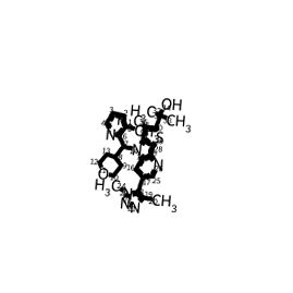 Cc1cccnc1C(C1CCOCC1)n1c2cc(-c3c(C)nnn3C)cnc2c2sc(C(C)(C)O)c(C)c21